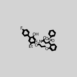 CCc1cc(-c2ccc(F)cc2)c(O)cc1OCCCOc1ccccc1C(CC(N)=O)S(=O)(=O)c1ccccc1